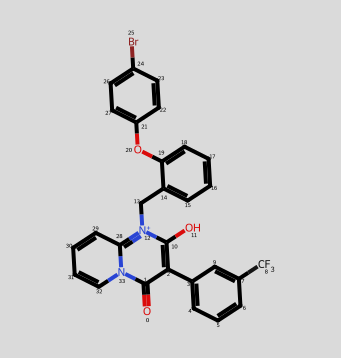 O=c1c(-c2cccc(C(F)(F)F)c2)c(O)[n+](Cc2ccccc2Oc2ccc(Br)cc2)c2ccccn12